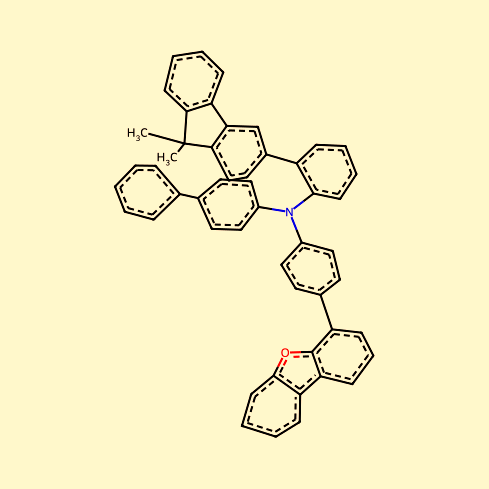 CC1(C)c2ccccc2-c2cc(-c3ccccc3N(c3ccc(-c4ccccc4)cc3)c3ccc(-c4cccc5c4oc4ccccc45)cc3)ccc21